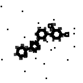 Clc1ccc(-c2cccc(-n3nnc(-c4ccccn4)n3)c2)c(Cl)c1